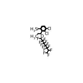 CCC(OC(F)C(F)(F)C(F)(F)C(F)(F)C(F)(F)C(F)C(F)F)c1c([SiH3])ccc(Cl)c1Cl